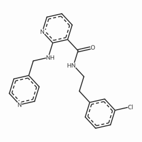 O=C(NCCc1cccc(Cl)c1)c1cccnc1NCc1ccncc1